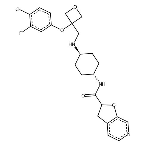 O=C(N[C@H]1CC[C@H](NCC2(Oc3ccc(Cl)c(F)c3)COC2)CC1)C1Cc2ccncc2O1